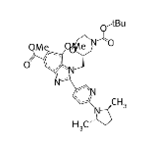 COC(=O)c1cc(OC)c2c(c1)nc(-c1ccc(N3[C@@H](C)CC[C@@H]3C)nc1)n2C[C@@H]1CN(C(=O)OC(C)(C)C)CCO1